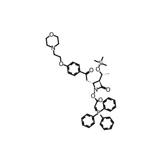 C[C@@H](O[Si](C)(C)C)[C@H]1C(=O)N(OC(=O)C=P(c2ccccc2)(c2ccccc2)c2ccccc2)[C@@H]1CC(=O)c1ccc(OCCN2CCOCC2)cc1